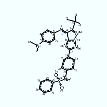 CN(C)c1ccc(/N=C2/C(C(C)(C)C)=Nn3nc(-c4ccc(NS(=O)(=O)c5ccccc5)cc4)nc32)cc1